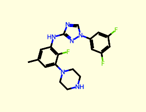 Cc1cc(Nc2ncn(-c3cc(F)cc(F)c3)n2)c(F)c(N2CCNCC2)c1